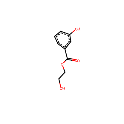 O=C(OCCO)c1cccc(O)c1